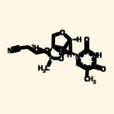 [2H]C[C@@]12CO[C@@H]([C@H](n3cc(C)c(=O)[nH]c3=O)O1)[C@@H]2OP(C)OCCC#N